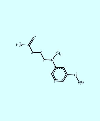 CCCCOc1cccc(N(C)CCCC(N)=O)c1